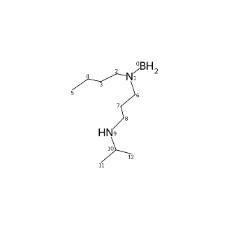 BN(CCCC)CCCNC(C)C